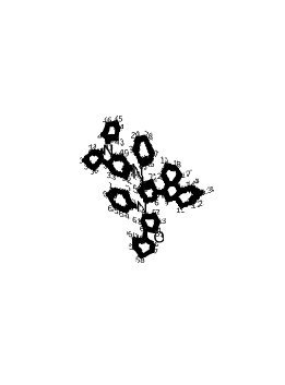 c1ccc(N(c2cc(-c3cc4ccccc4c4ccccc34)cc(N(c3ccccc3)c3ccc4c5ccccc5n(-c5ccccc5)c4c3)c2)c2ccc3oc4ccccc4c3c2)cc1